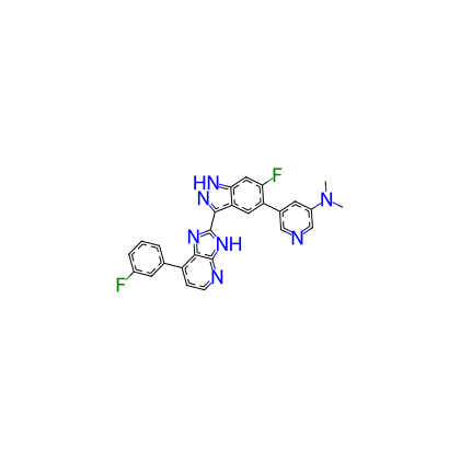 CN(C)c1cncc(-c2cc3c(-c4nc5c(-c6cccc(F)c6)ccnc5[nH]4)n[nH]c3cc2F)c1